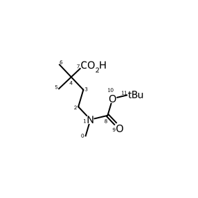 CN(CCC(C)(C)C(=O)O)C(=O)OC(C)(C)C